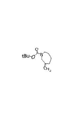 C=C1CCCCN(C(=O)OC(C)(C)C)C1